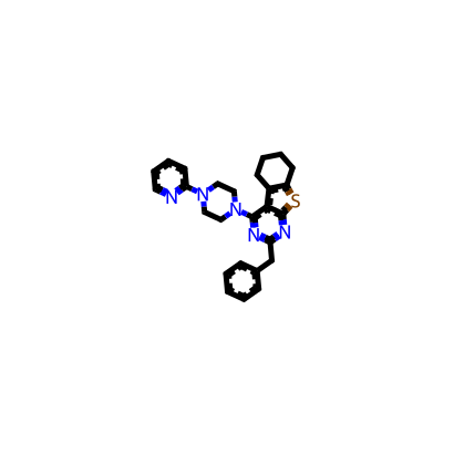 c1ccc(Cc2nc(N3CCN(c4ccccn4)CC3)c3c4c(sc3n2)CCCC4)cc1